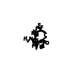 Nc1cc(C(F)(F)F)c2nc1-c1nnc(o1)C(C(F)(F)F)CCCCCN(C(=O)C1CCC1)C2